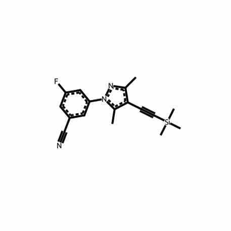 Cc1nn(-c2cc(F)cc(C#N)c2)c(C)c1C#C[Si](C)(C)C